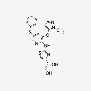 Cn1nccc1Oc1cc(Sc2ccccc2)cnc1Nc1nc(C(O)CO)cs1